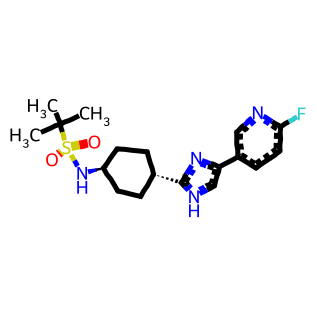 CC(C)(C)S(=O)(=O)N[C@H]1CC[C@H](c2nc(-c3ccc(F)nc3)c[nH]2)CC1